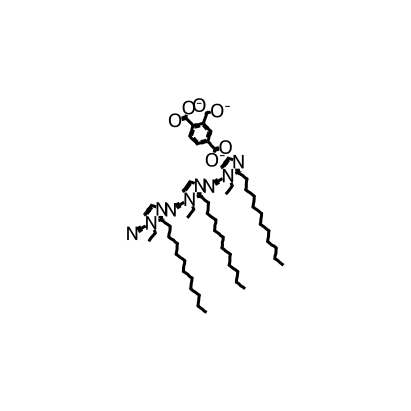 CCCCCCCCCCCC1=NC=C[N+]1(C#N)CC.CCCCCCCCCCCC1=NC=C[N+]1(C#N)CC.CCCCCCCCCCCC1=NC=C[N+]1(C#N)CC.O=C([O-])c1ccc(C(=O)[O-])c(C(=O)[O-])c1